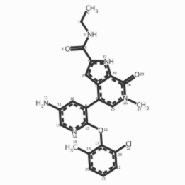 CCNC(=O)c1cc2c(-c3cc(N)cnc3Oc3c(C)cccc3Cl)cn(C)c(=O)c2[nH]1